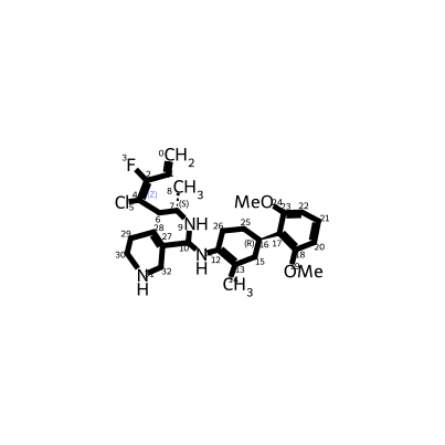 C=C/C(F)=C(/Cl)C[C@H](C)NC(NC1=C(C)C[C@H](c2c(OC)cccc2OC)CC1)C1=CCCNC1